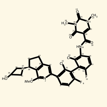 COc1nc(-c2ccc(F)c(-c3c(F)ccc(NC(=O)c4cn(C)c(=O)n(C)c4=O)c3Cl)c2Cl)cc2c1[C@@H](N1CC(O)C1)CC2